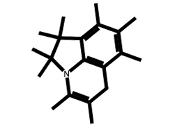 CC1=C(C)N2c3c(c(C)c(C)c(C)c3C(C)(C)C2(C)C)C1